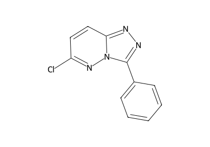 Clc1ccc2nnc(-c3ccccc3)n2n1